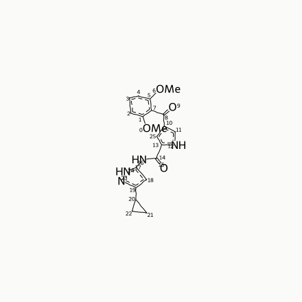 COc1cccc(OC)c1C(=O)c1c[nH]c(C(=O)Nc2cc(C3CC3)n[nH]2)c1